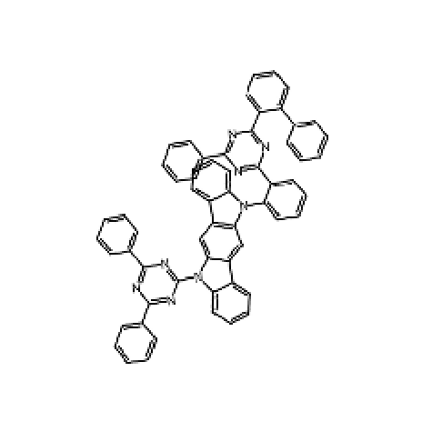 c1ccc(-c2nc(-c3ccccc3-c3ccccc3)nc(-c3ccccc3-n3c4ccccc4c4cc5c(cc43)c3ccccc3n5-c3nc(-c4ccccc4)nc(-c4ccccc4)n3)n2)cc1